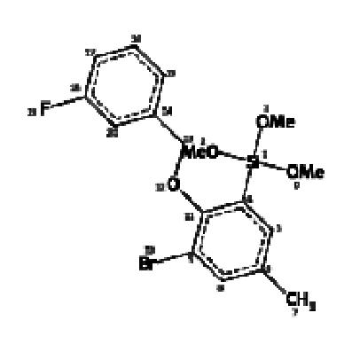 CO[Si](OC)(OC)c1cc(C)cc(Br)c1OCc1cccc(F)c1